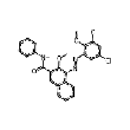 COc1c(Cl)cc(Cl)cc1N=Nc1c(OC)c(C(=O)Nc2ccccc2)cc2ccccc12